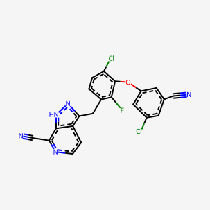 N#Cc1cc(Cl)cc(Oc2c(Cl)ccc(Cc3n[nH]c4c(C#N)nccc34)c2F)c1